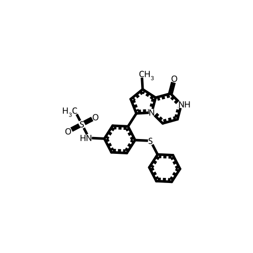 Cc1cc(-c2cc(NS(C)(=O)=O)ccc2Sc2ccccc2)n2cc[nH]c(=O)c12